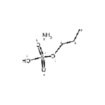 CCCOS(=O)(=O)O.N